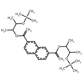 C=C(OC(C)C(C)O[Si](C)(C)C)c1ccc2ccc(C(=C)OC(C)C(C)O[Si](C)(C)C)cc2c1